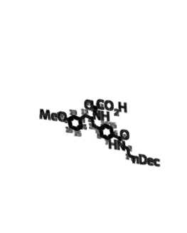 CCCCCCCCCCCCNC(=O)c1ccc(CC(Cc2cccc(OC)c2)NC(=O)C(=O)O)cc1